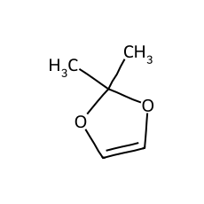 CC1(C)OC=CO1